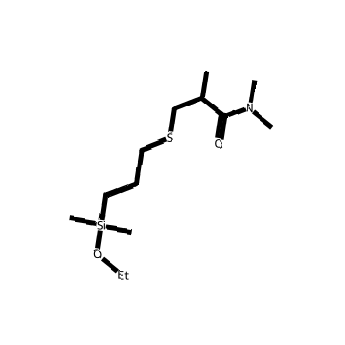 CCO[Si](C)(C)CCCSCC(C)C(=O)N(C)C